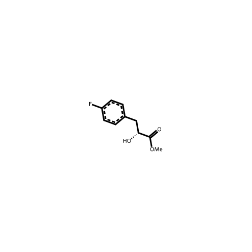 COC(=O)[C@H](O)Cc1ccc(F)cc1